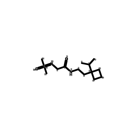 CC(C)C1(CCNC(=O)CN=S(C)(C)=O)CCC1